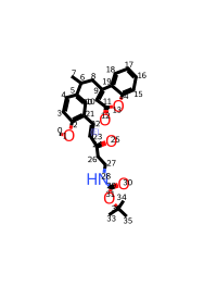 COc1ccc(C(C)Cc2cc(=O)oc3ccccc23)cc1/C=C/C(=O)CCNC(=O)OC(C)(C)C